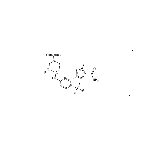 Cc1sc(-c2nc(N[C@@H]3CCN(S(C)(=O)=O)C[C@H]3F)ncc2C(F)(F)F)cc1C(N)=O